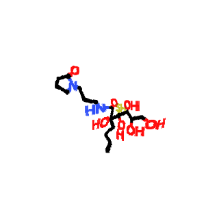 CCCCC(O)(C(=O)NCCCN1CCCC1=O)C(O)(S)C(O)C(O)CO